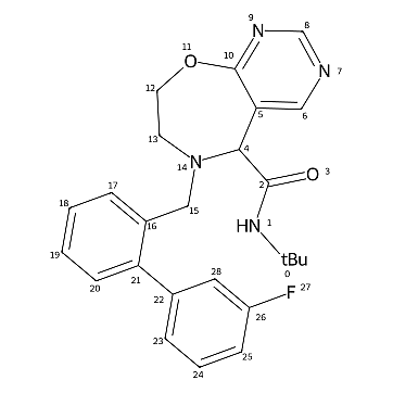 CC(C)(C)NC(=O)C1c2cncnc2OCCN1Cc1ccccc1-c1cccc(F)c1